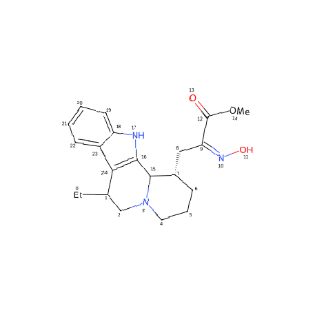 CCC1CN2CCC[C@@H](CC(=NO)C(=O)OC)C2c2[nH]c3ccccc3c21